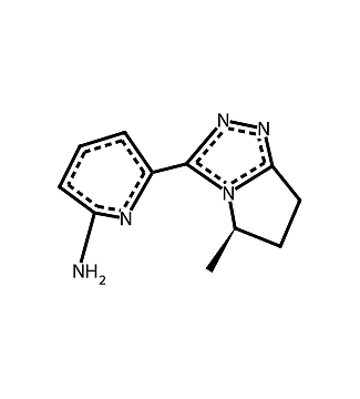 C[C@@H]1CCc2nnc(-c3cccc(N)n3)n21